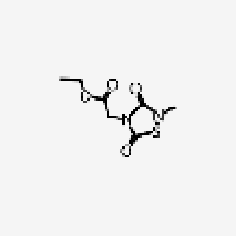 CCOC(=O)Cn1c(=O)sn(C)c1=O